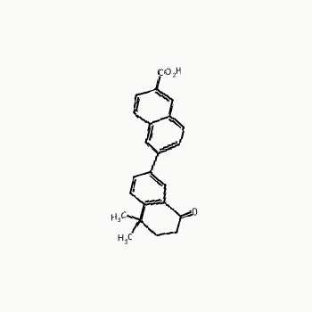 CC1(C)CCC(=O)c2cc(-c3ccc4cc(C(=O)O)ccc4c3)ccc21